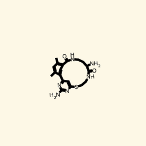 Cc1cc(C)c2cc1C(=O)NCCC(N)C(=O)NCCSc1cc-2nc(N)n1